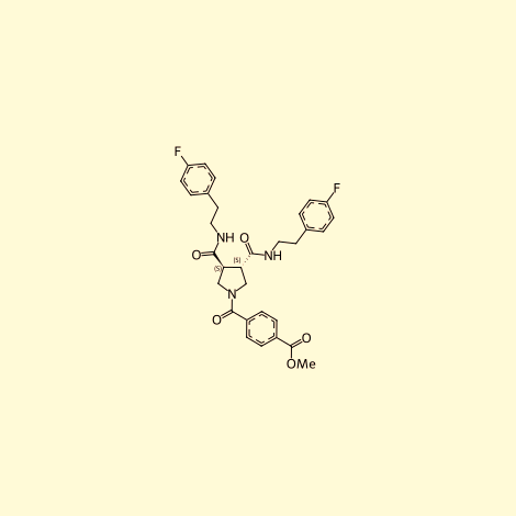 COC(=O)c1ccc(C(=O)N2C[C@@H](C(=O)NCCc3ccc(F)cc3)[C@H](C(=O)NCCc3ccc(F)cc3)C2)cc1